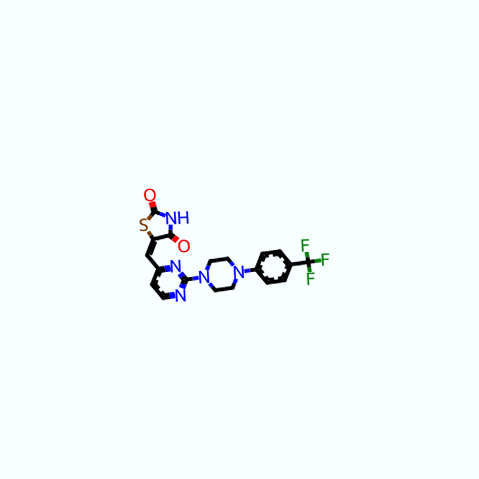 O=C1NC(=O)/C(=C\c2ccnc(N3CCN(c4ccc(C(F)(F)F)cc4)CC3)n2)S1